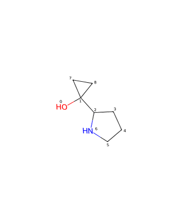 OC1(C2CCCN2)CC1